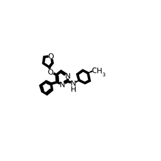 C[C@H]1CC[C@@H](Nc2ncc(OC3CCOC3)c(-c3ccccc3)n2)CC1